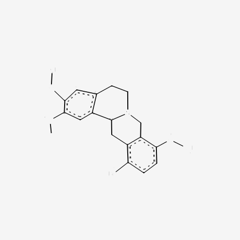 COc1cc2c(cc1OC)C1Cc3c(Br)ccc(OC)c3CN1CC2